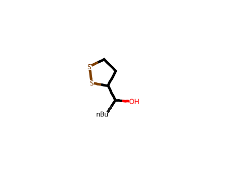 CCCCC(O)C1CCSS1